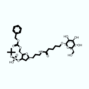 CC(C)(C)OP(=O)(O)OC1C[C@H](CCCNC(=O)CCCCO[C@H]2O[C@H](CO)[C@@H](O)[C@H](O)[C@@H]2O)O[C@@H]1COC(=O)OCc1ccccc1